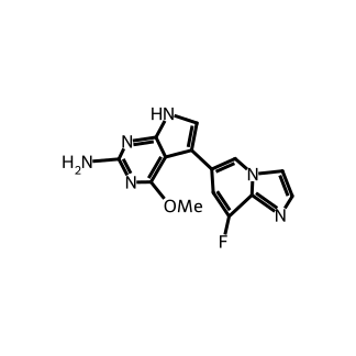 COc1nc(N)nc2[nH]cc(-c3cc(F)c4nccn4c3)c12